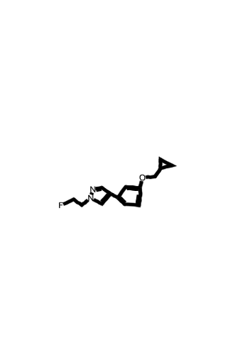 FCCn1cc(-c2cccc(OCC3CC3)c2)cn1